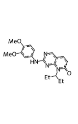 CCC(CC)n1c(=O)ccc2cnc(Nc3ccc(OC)c(OC)c3)nc21